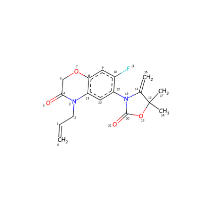 C=CCN1C(=O)COc2cc(F)c(N3C(=C)C(C)(C)OC3=O)cc21